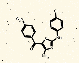 Nc1nc(Nc2ccc(Cl)cc2)sc1C(=O)c1ccc([N+](=O)[O-])cc1